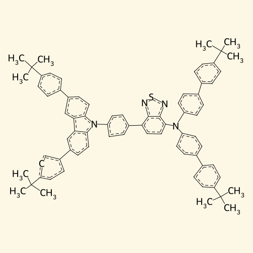 CC(C)(C)c1ccc(-c2ccc(N(c3ccc(-c4ccc(C(C)(C)C)cc4)cc3)c3ccc(-c4ccc(-n5c6ccc(-c7ccc(C(C)(C)C)cc7)cc6c6cc(-c7ccc(C(C)(C)C)cc7)ccc65)cc4)c4nsnc34)cc2)cc1